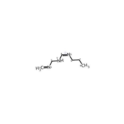 C=NCN/C=N\CCC